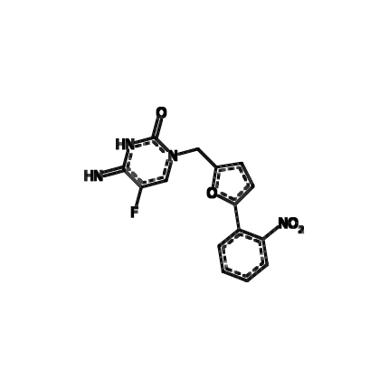 N=c1[nH]c(=O)n(Cc2ccc(-c3ccccc3[N+](=O)[O-])o2)cc1F